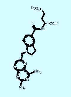 CCOC(=O)CC[C@@H](NC(=O)c1ccc2c(c1)CCN2Cc1cnc2nc(N)nc(N)c2n1)C(=O)OCC